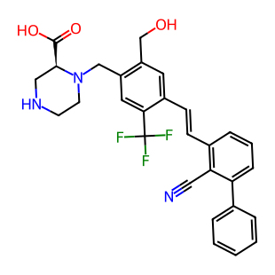 N#Cc1c(/C=C/c2cc(CO)c(CN3CCNC[C@H]3C(=O)O)cc2C(F)(F)F)cccc1-c1ccccc1